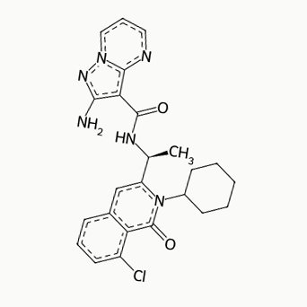 C[C@H](NC(=O)c1c(N)nn2cccnc12)c1cc2cccc(Cl)c2c(=O)n1C1CCCCC1